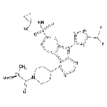 CO[C@@H](C)C(=O)N1CCC(c2ncnc3c2c2ccc(S(=O)(=O)NC4(C#N)CC4)cc2n3-c2nnc(C(F)F)s2)CC1